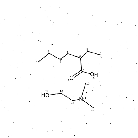 CCCCC(CC)C(=O)O.CN(C)CCO